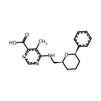 Cc1c(NC[C@@H]2CCC[C@H](c3ccccc3)O2)ncnc1C(=O)O